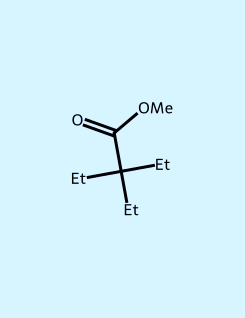 CCC(CC)(CC)C(=O)OC